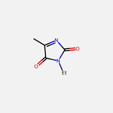 CCN1C(=O)N=C(C)C1=O